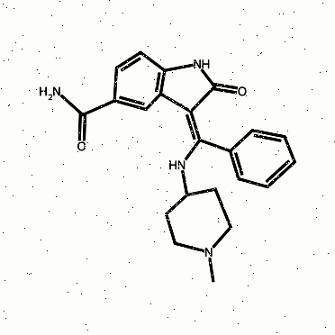 CN1CCC(NC(=C2C(=O)Nc3ccc(C(N)=O)cc32)c2ccccc2)CC1